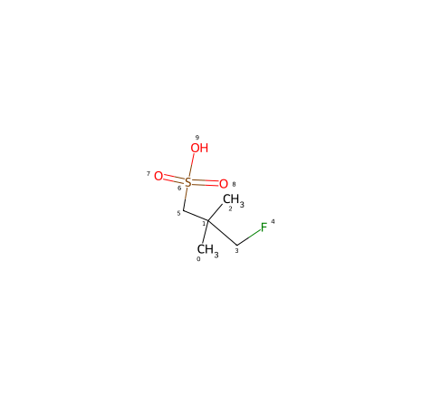 CC(C)(CF)CS(=O)(=O)O